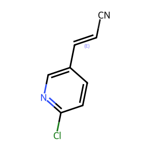 N#C/C=C/c1ccc(Cl)nc1